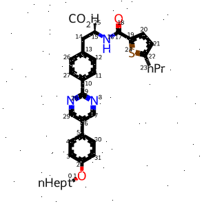 CCCCCCCOc1ccc(-c2cnc(-c3ccc(C[C@H](NC(=O)c4ccc(CCC)s4)C(=O)O)cc3)nc2)cc1